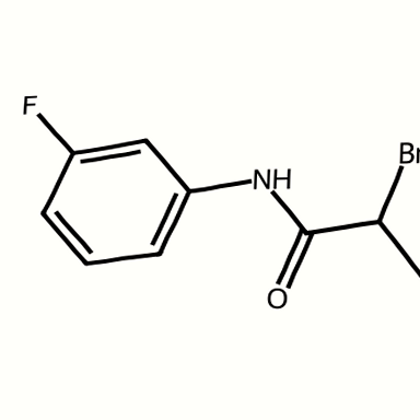 CC(Br)C(=O)Nc1cccc(F)c1